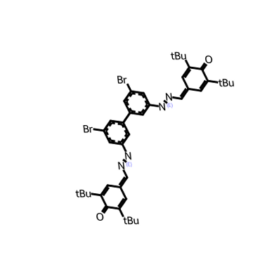 CC(C)(C)C1=CC(=C/N=N/c2cc(Br)cc(-c3cc(Br)cc(/N=N/C=C4C=C(C(C)(C)C)C(=O)C(C(C)(C)C)=C4)c3)c2)C=C(C(C)(C)C)C1=O